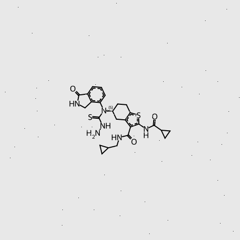 NNC(=S)N(c1cccc2c1CNC2=O)[C@H]1CCc2sc(NC(=O)C3CC3)c(C(=O)NCC3CC3)c2C1